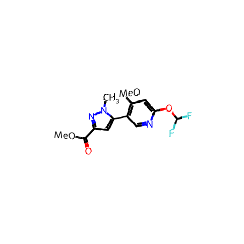 COC(=O)c1cc(-c2cnc(OC(F)F)cc2OC)n(C)n1